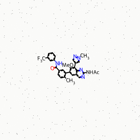 COc1c(-c2cc(C(=O)Nc3cccc(C(F)(F)F)c3)ccc2C)cc2cnc(NC(C)=O)nc2c1-c1cnn(C)c1